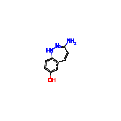 NC1=NNc2ccc(O)cc2C=C1